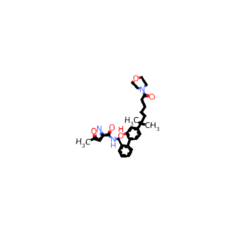 Cc1cc(C(=O)NCc2ccccc2-c2ccc(C(C)(C)CCCCC(=O)N3CCOCC3)cc2O)no1